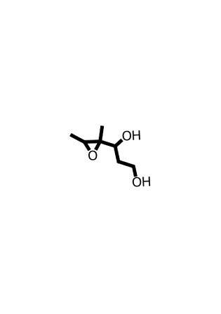 CC1OC1(C)C(O)CCO